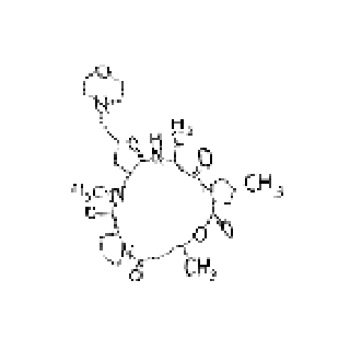 CC1CC(=O)N2CCCC2C(=O)N(C)C(CCCN2CCOCC2)C(=O)NC(C)C(=O)N2C[C@H](C)CC2C(=O)O1